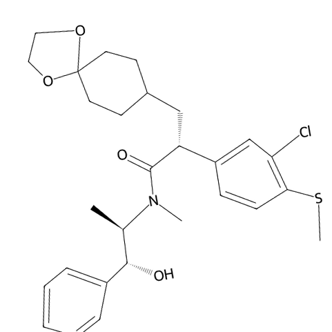 CSc1ccc([C@@H](CC2CCC3(CC2)OCCO3)C(=O)N(C)[C@H](C)[C@H](O)c2ccccc2)cc1Cl